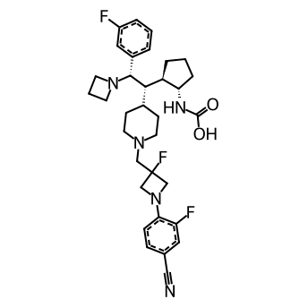 N#Cc1ccc(N2CC(F)(CN3CCC([C@@H]([C@H]4CCC[C@@H]4NC(=O)O)[C@@H](c4cccc(F)c4)N4CCC4)CC3)C2)c(F)c1